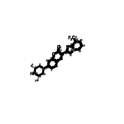 C[C@@H]1CN(c2ccc3cc(-c4cn5cccc(C(F)(F)F)c5n4)c(=O)oc3c2)C[C@H](C)N1